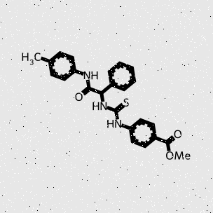 COC(=O)c1ccc(NC(=S)NC(C(=O)Nc2ccc(C)cc2)c2ccccc2)cc1